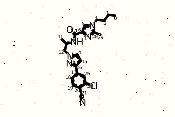 CCCCn1cc(C(=O)NC(C)Cn2ccc(-c3ccc(C#N)c(Cl)c3)n2)nc1C